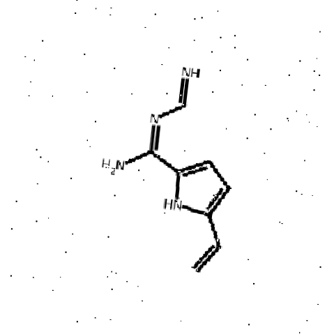 C=Cc1ccc(/C(N)=N\C=N)[nH]1